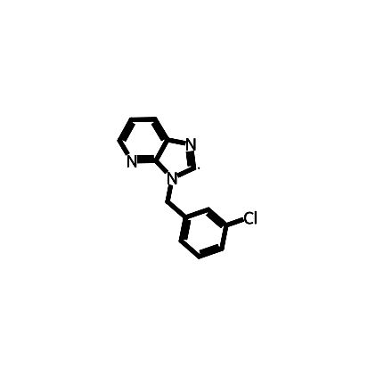 Clc1cccc(Cn2[c]nc3cccnc32)c1